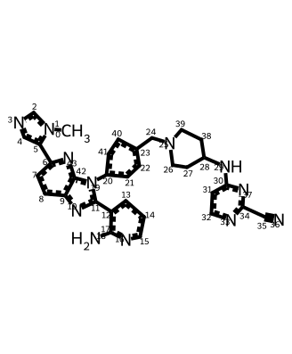 Cn1cncc1-c1ccc2nc(-c3cccnc3N)n(-c3ccc(CN4CCC(Nc5ccnc(C#N)n5)CC4)cc3)c2n1